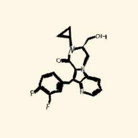 O=C1c2c(-c3ccc(F)c(F)c3)c3ncccc3n2C[C@H](CO)N1C1CC1